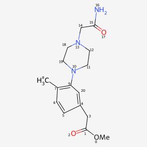 COC(=O)Cc1ccc(C)c(N2CCN(CC(N)=O)CC2)c1